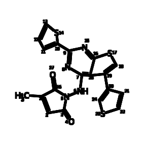 CC1=CC(=O)N(Nc2nc(-c3cccs3)nc3scc(-c4ccsc4)c23)C1=O